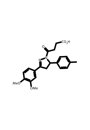 COc1ccc(C2=NN(C(=O)CCC(=O)O)C(c3ccc(C)cc3)C2)cc1OC